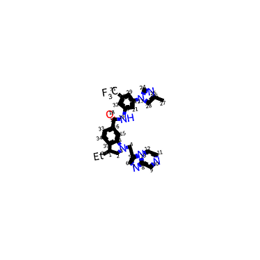 CCC1CN(Cc2cnc3cnccn23)c2cc(C(=O)Nc3cc(-n4cnc(C)c4)cc(C(F)(F)F)c3)ccc21